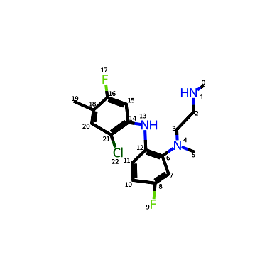 CNCCN(C)c1cc(F)ccc1Nc1cc(F)c(C)cc1Cl